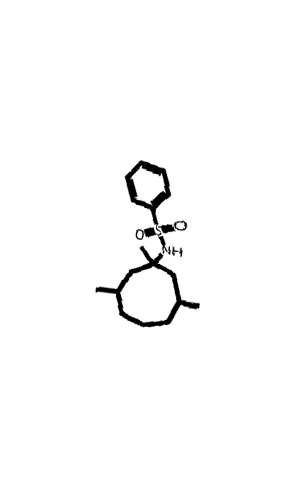 CC1CCCC(C)CC(C)(NS(=O)(=O)c2ccccc2)C1